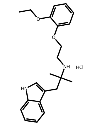 CCOc1ccccc1OCCNC(C)(C)Cc1c[nH]c2ccccc12.Cl